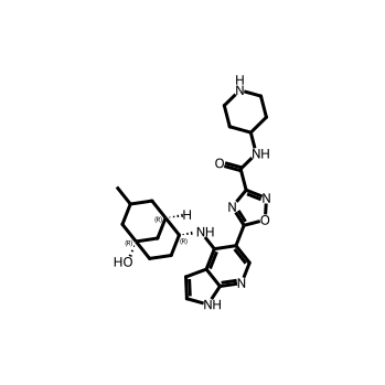 CC1C[C@@H]2C[C@@](O)(CC[C@H]2Nc2c(-c3nc(C(=O)NC4CCNCC4)no3)cnc3[nH]ccc23)C1